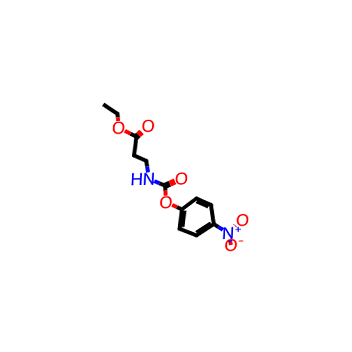 CCOC(=O)CCNC(=O)Oc1ccc([N+](=O)[O-])cc1